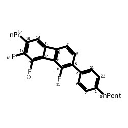 CCCCCc1ccc(-c2ccc3c(c2F)-c2c-3cc(CCC)c(F)c2F)cc1